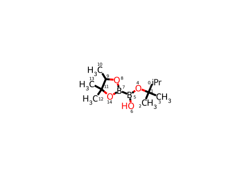 CC(C)C(C)(C)OB(O)B1OC(C)C(C)(C)O1